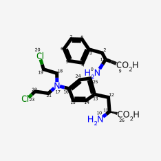 NC(Cc1ccccc1)C(=O)O.N[C@@H](Cc1ccc(N(CCCl)CCCl)cc1)C(=O)O